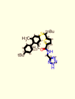 CCCCC(Sc1cc(C)c(-c2ccc(C(C)(C)C)cc2)c(C)c1)c1ccc(C(=O)NCc2nn[nH]n2)s1